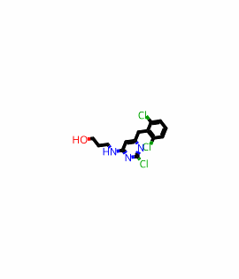 OCCCNc1cc(Cc2c(Cl)cccc2Cl)nc(Cl)n1